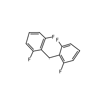 Fc1cccc(F)c1[CH]c1c(F)cccc1F